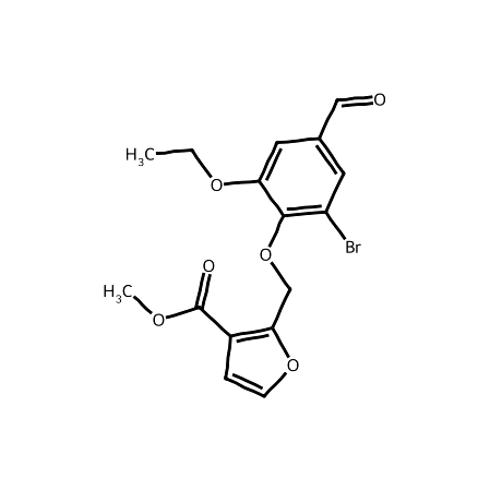 CCOc1cc(C=O)cc(Br)c1OCc1occc1C(=O)OC